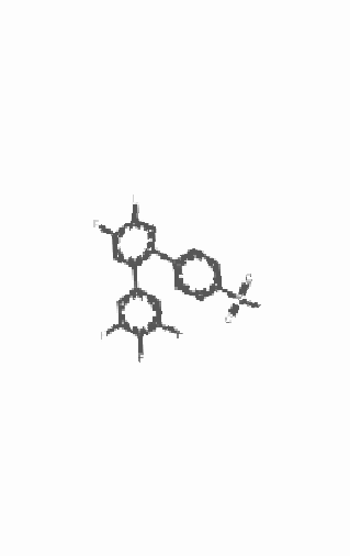 CS(=O)(=O)c1ccc(-c2cc(F)c(F)cc2-c2cc(F)c(F)c(F)c2)cc1